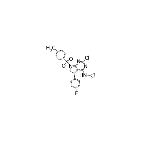 Cc1ccc(S(=O)(=O)n2cc(-c3ccc(F)cc3)c3c(NC4CC4)nc(Cl)nc32)cc1